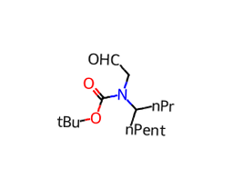 CCCCCC(CCC)N(CC=O)C(=O)OC(C)(C)C